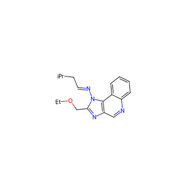 CCOCc1nc2cnc3ccccc3c2n1N=CCC(C)C